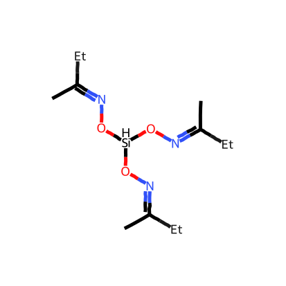 CCC(C)=NO[SiH](ON=C(C)CC)ON=C(C)CC